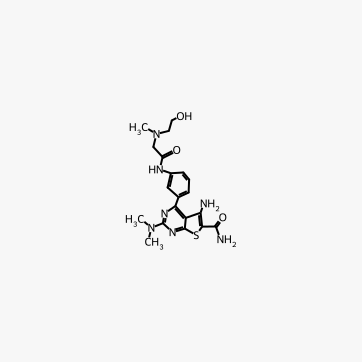 CN(CCO)CC(=O)Nc1cccc(-c2nc(N(C)C)nc3sc(C(N)=O)c(N)c23)c1